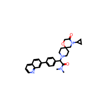 CN(C)C(=O)C(c1ccc(-c2ccc3cccnc3c2)cc1)N1CCC2(CC1)CN(C1CC1)C(=O)CO2